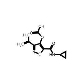 C=C(C)c1noc(C(=O)NC2CC2)c1OC(=O)O